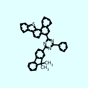 CC1(C)c2ccccc2-c2ccc(-c3nc(-c4ccccc4)nc(-c4cc5ccccc5c5c4ccc4c6ccccc6sc45)n3)cc21